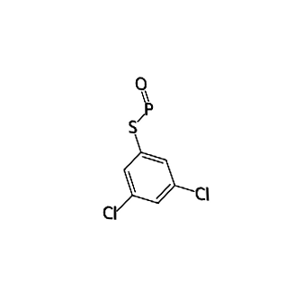 O=PSc1cc(Cl)cc(Cl)c1